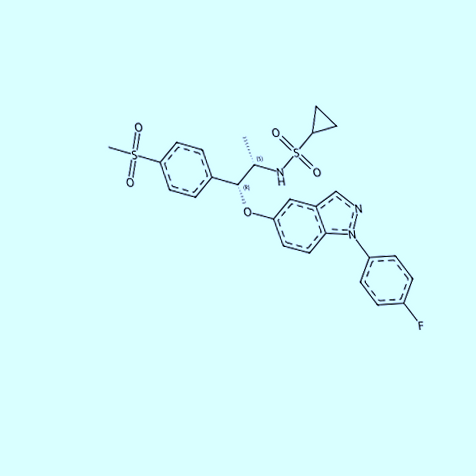 C[C@H](NS(=O)(=O)C1CC1)[C@H](Oc1ccc2c(cnn2-c2ccc(F)cc2)c1)c1ccc(S(C)(=O)=O)cc1